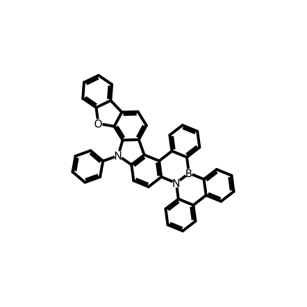 c1ccc(-n2c3ccc4c(c3c3ccc5c6ccccc6oc5c32)-c2ccccc2B2c3ccccc3-c3ccccc3N24)cc1